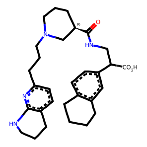 O=C(O)C(CNC(=O)[C@@H]1CCCN(CCCc2ccc3c(n2)NCCC3)C1)c1ccc2c(c1)CCCC2